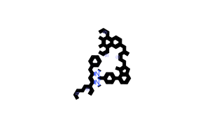 C=C/C(=C\C/C=C\C)C1=CC(Cc2ccccc2)N(C)C(c2ccc(-c3cccc4c3C(C)=C(C/C=C\C(=C)Cc3ccc5c(/C=C\C)c(C)c(C)c(/C=C\C)c5c3)C4)cc2)N1C